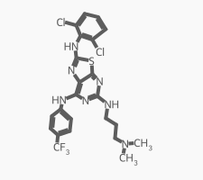 CN(C)CCCNc1nc(Nc2ccc(C(F)(F)F)cc2)c2nc(Nc3c(Cl)cccc3Cl)sc2n1